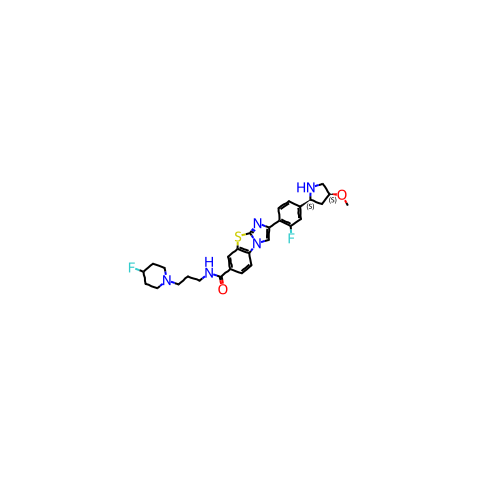 CO[C@@H]1CN[C@H](c2ccc(-c3cn4c(n3)sc3cc(C(=O)NCCCN5CCC(F)CC5)ccc34)c(F)c2)C1